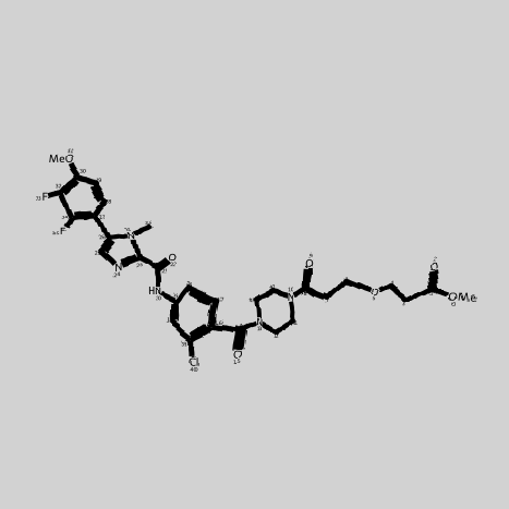 COC(=O)CCOCCC(=O)N1CCN(C(=O)c2ccc(NC(=O)c3ncc(-c4ccc(OC)c(F)c4F)n3C)cc2Cl)CC1